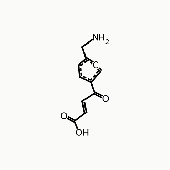 NCc1ccc(C(=O)C=CC(=O)O)cc1